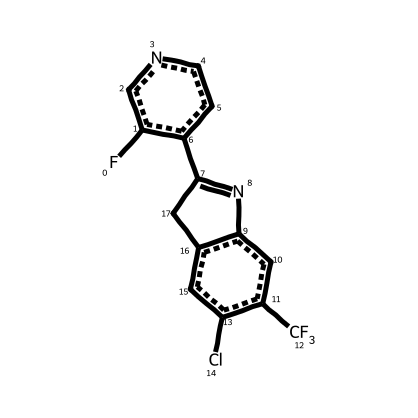 Fc1cnccc1C1=Nc2cc(C(F)(F)F)c(Cl)cc2C1